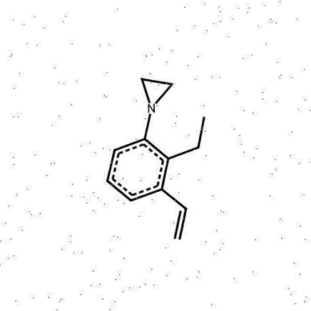 C=Cc1cccc(N2CC2)c1CC